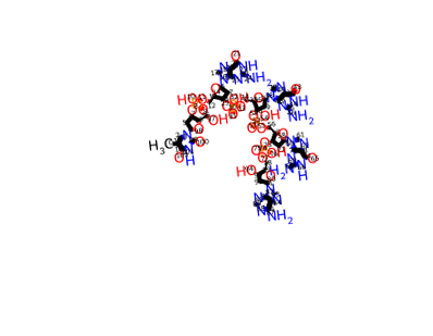 Cc1cn([C@H]2C[C@H](OP(=O)(O)OC[C@H]3O[C@@H](n4cnc5c(=O)[nH]c(N)nc54)C[C@@H]3OP(=O)(O)OC[C@H]3O[C@@H](n4cnc5c(=O)[nH]c(N)nc54)C[C@@H]3OP(=O)(O)OC[C@H]3O[C@@H](n4cnc5c(=O)[nH]c(N)nc54)C[C@@H]3OP(=O)(O)OC[C@H]3O[C@@H](n4cnc5c(N)ncnc54)C[C@@H]3O)[C@@H](CO)O2)c(=O)[nH]c1=O